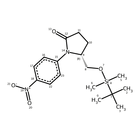 CC(C)(C)[Si](C)(C)OC[C@H]1CCC(=O)N1c1ccc([N+](=O)[O-])cc1